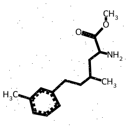 COC(=O)C(N)CC(C)CCc1cccc(C)c1